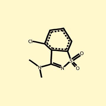 CN(C)C1=NS(=O)(=O)c2cccc(Cl)c21